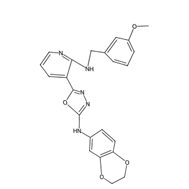 COc1cccc(CNc2ncccc2-c2nnc(Nc3ccc4c(c3)OCCO4)o2)c1